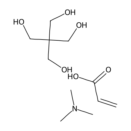 C=CC(=O)O.CN(C)C.OCC(CO)(CO)CO